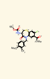 COC(=O)c1cc2c(cc1F)SC[C@H](NC(=O)OC(C)(C)C)C(=O)N2Cc1ccc(OC)c(C(F)(F)F)c1